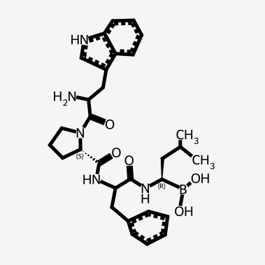 CC(C)C[C@H](NC(=O)C(Cc1ccccc1)NC(=O)[C@@H]1CCCN1C(=O)C(N)Cc1c[nH]c2ccccc12)B(O)O